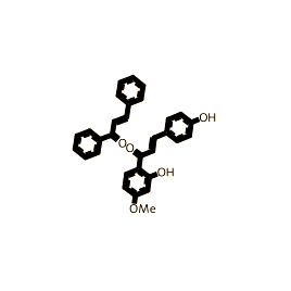 COc1ccc(C(=O)C=Cc2ccc(O)cc2)c(O)c1.O=C(C=Cc1ccccc1)c1ccccc1